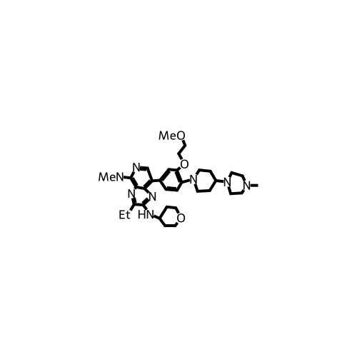 CCc1nc2c(NC)ncc(-c3ccc(N4CCC(N5CCN(C)CC5)CC4)c(OCCOC)c3)c2nc1NC1CCOCC1